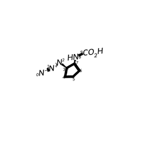 [N-]=[N+]=N[C@@H]1CCC[C@@H]1NC(=O)O